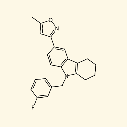 Cc1cc(-c2ccc3c(c2)c2c(n3Cc3cccc(F)c3)CCCC2)no1